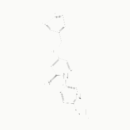 Nc1ccc(-n2ccc(OCc3ccccc3)cc2=O)cn1